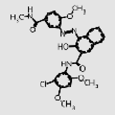 CNC(=O)c1ccc(OC)c(/N=N/c2c(O)c(C(=O)Nc3cc(Cl)c(OC)cc3OC)cc3ccccc23)c1